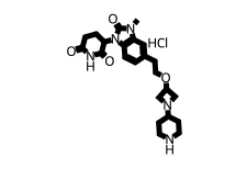 Cl.Cn1c(=O)n(C2CCC(=O)NC2=O)c2ccc(CCOC3CN(C4CCNCC4)C3)cc21